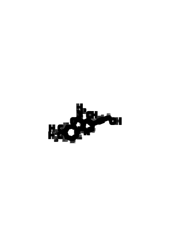 Cc1c(C#CCO)cnc(N2CCCC(C)(C)CC2)c1C(N)=O